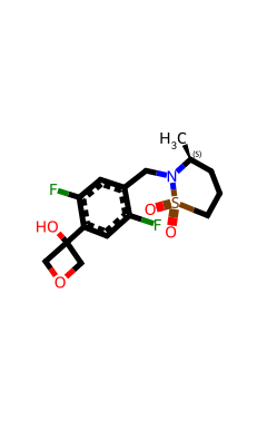 C[C@H]1CCCS(=O)(=O)N1Cc1cc(F)c(C2(O)COC2)cc1F